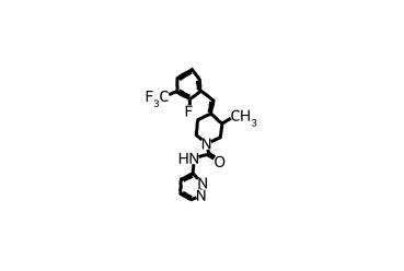 CC1CN(C(=O)Nc2cccnn2)CCC1=Cc1cccc(C(F)(F)F)c1F